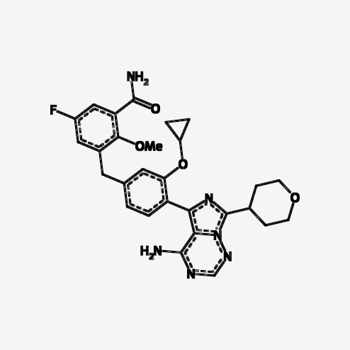 COc1c(Cc2ccc(-c3nc(C4CCOCC4)n4ncnc(N)c34)c(OC3CC3)c2)cc(F)cc1C(N)=O